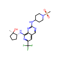 C[C@@]1(O)CCC[C@H]1Nc1nc(C(F)(F)F)cc2cnc(NC3CCN(S(C)(=O)=O)CC3)nc12